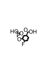 O=C(O)c1ccc(F)c2c1OB(O)CO2